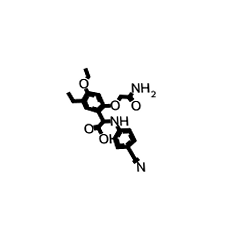 CCOc1cc(OCC(N)=O)c(C(Nc2ccc(C#N)cc2)C(=O)O)cc1CC